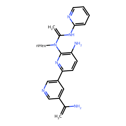 C=C(N)c1cncc(-c2ccc(N)c(N(CCCCCC)C(=C)Nc3ccccn3)n2)c1